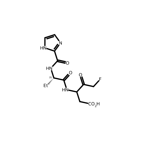 CC[C@H](NC(=O)c1ncc[nH]1)C(=O)NC(CC(=O)O)C(=O)CF